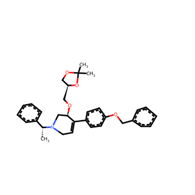 C[C@H](c1ccccc1)N1CC=C(c2ccc(OCc3ccccc3)cc2)[C@H](OC[C@H]2COC(C)(C)O2)C1